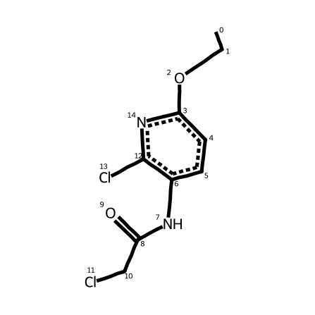 CCOc1ccc(NC(=O)CCl)c(Cl)n1